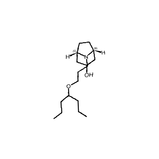 CCCC(CCC)OCCCN1[C@@H]2CC[C@H]1CC(O)C2